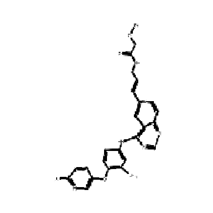 CCOCC(=O)NC/C=C/c1ccc2ncnc(Nc3ccc(Oc4ccc(C)nc4)c(C)c3)c2c1